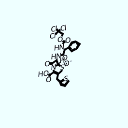 O=C(N[C@H](C(=O)N[C@@H]1C(=O)N2C(C(=O)O)=C(Cc3cccs3)C[S+]([O-])[C@@H]12)c1ccccc1)OCC(Cl)(Cl)Cl